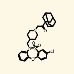 O=C(CN1CCC(CN2c3ccccc3Oc3ccc(Cl)cc3S2(=O)=O)CC1)C12CC3CC(CC(C3)C1)C2